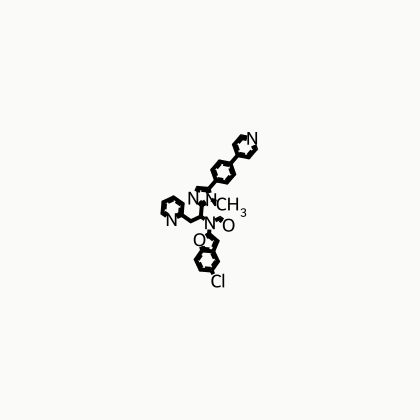 Cn1c(-c2ccc(-c3ccncc3)cc2)cnc1C(Cc1ccccn1)N(C=O)c1cc2cc(Cl)ccc2o1